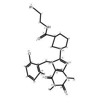 CC(C)CCNC(=O)C1CCCN(c2nc3c(c(=O)n(C)c(=O)n3C)n2Cc2c(F)cccc2Cl)C1